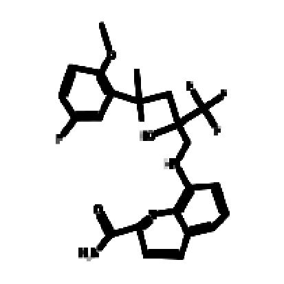 COc1ccc(F)cc1C(C)(C)CC(O)(CNc1cccc2ccc(C(N)=O)nc12)C(F)(F)F